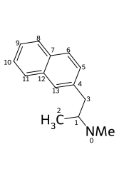 CNC(C)Cc1ccc2ccccc2c1